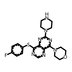 Fc1ccc(Sc2ncnc3c(N4CCOCC4)nc(N4CCNCC4)nc23)cc1